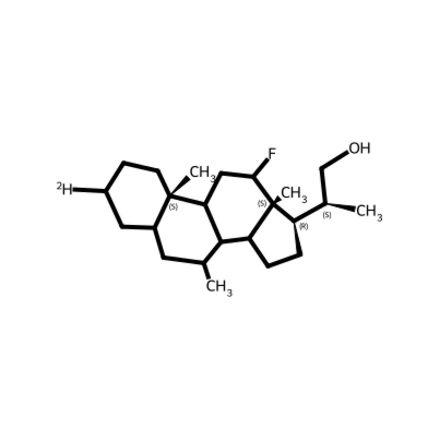 [2H]C1CC[C@@]2(C)C(C1)CC(C)C1C2CC(F)[C@@]2(C)C1CC[C@@H]2[C@H](C)CO